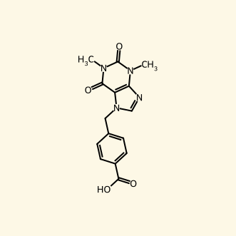 Cn1c(=O)c2c(ncn2Cc2ccc(C(=O)O)cc2)n(C)c1=O